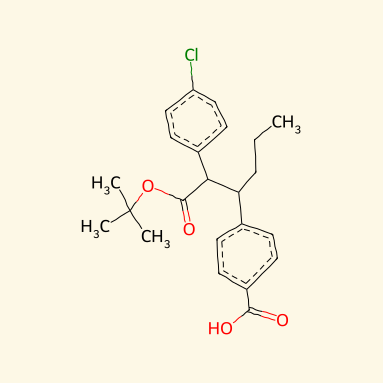 CCCC(c1ccc(C(=O)O)cc1)C(C(=O)OC(C)(C)C)c1ccc(Cl)cc1